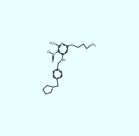 CCCCOc1cc(NCc2ccc(CN3CCCC3)cc2)c([N+](=O)[O-])c(C)n1